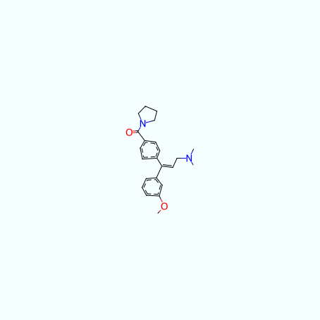 COc1cccc(/C(=C/CN(C)C)c2ccc(C(=O)N3CCCC3)cc2)c1